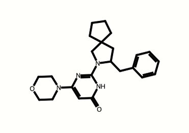 O=c1cc(N2CCOCC2)nc(N2CC3(CCCC3)CC2Cc2ccccc2)[nH]1